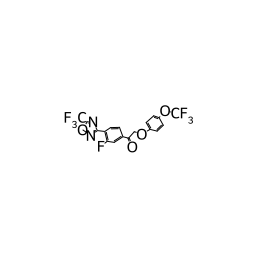 O=C(COc1ccc(OC(F)(F)F)cc1)c1ccc(-c2noc(C(F)(F)F)n2)c(F)c1